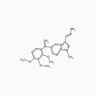 C=C(c1ccc2c(c1)c(/C=N/N)cn2C)c1ccc(OC)c(OC)c1OC